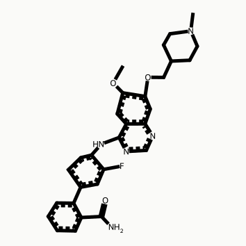 COc1cc2c(Nc3ccc(-c4ccccc4C(N)=O)cc3F)ncnc2cc1OCC1CCN(C)CC1